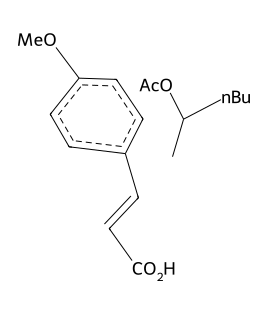 CCCCC(C)OC(C)=O.COc1ccc(C=CC(=O)O)cc1